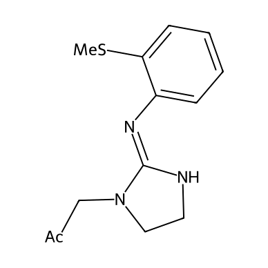 CSc1ccccc1/N=C1\NCCN1CC(C)=O